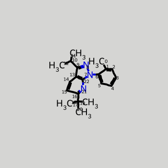 Cc1ccccc1-n1nc(C(C)C)c2ccc(C(C)(C)C)nc21